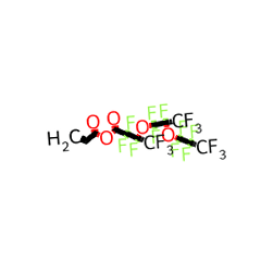 C=CC(=O)OC(=O)C(F)(F)C(F)(OC(F)(F)C(F)(OC(F)(F)C(F)(F)C(F)(F)F)C(F)(F)F)C(F)(F)F